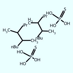 CCCCC(C)C(C)C(C)C.CCCCC(C)C(C)C(C)C.OP(O)(O)=S.OP(O)(O)=S